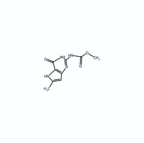 COC(=O)Nc1nc2cc(C)[nH]c2c(=O)[nH]1